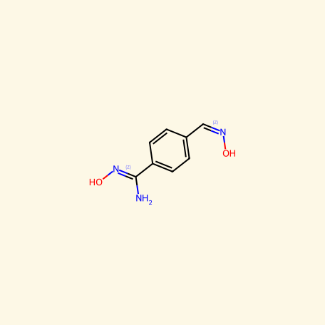 N/C(=N\O)c1ccc(/C=N\O)cc1